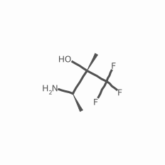 C[C@@H](N)[C@](C)(O)C(F)(F)F